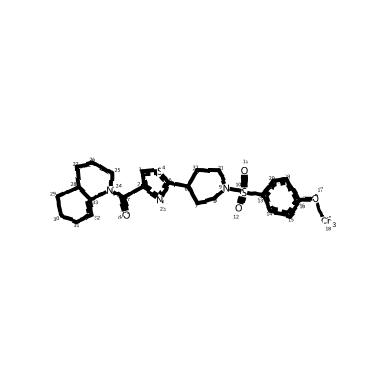 O=C(c1csc(C2CCN(S(=O)(=O)c3ccc(OC(F)(F)F)cc3)CC2)n1)N1CCCC2CCCC=C21